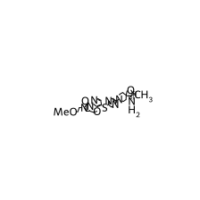 COCCN1CC2COc3c(Sc4cnc(N5CCC6(CC5)CO[C@@H](C)[C@H]6N)cn4)ccnc3N2C1=O